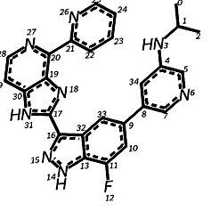 CC(C)Nc1cncc(-c2cc(F)c3[nH]nc(-c4nc5c(-c6ccccn6)nccc5[nH]4)c3c2)c1